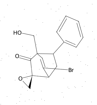 O=C1C2(CO)C=C(Br)C(CC2c2ccccc2)[C@@]12CO2